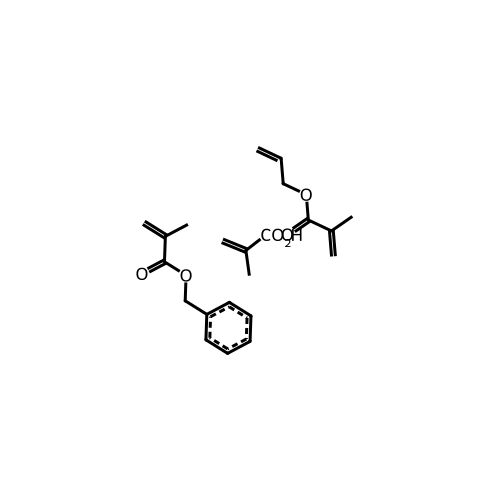 C=C(C)C(=O)O.C=C(C)C(=O)OCc1ccccc1.C=CCOC(=O)C(=C)C